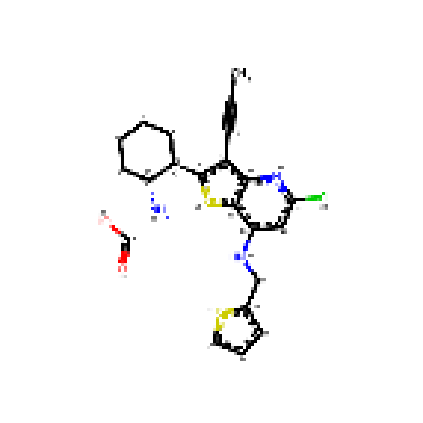 CC#Cc1c([C@@H]2CCCC[C@H]2N)sc2c(NCc3cccs3)cc(Cl)nc12.O=CO